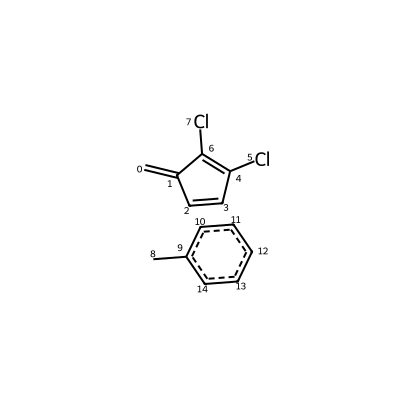 C=C1C=CC(Cl)=C1Cl.Cc1ccccc1